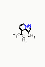 Cc1cnn2cccc(C(C)C)c12